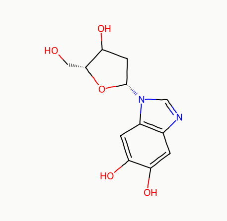 OC[C@H]1O[C@@H](n2cnc3cc(O)c(O)cc32)CC1O